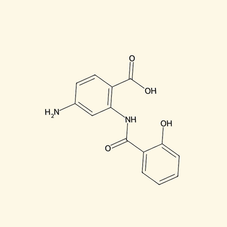 Nc1ccc(C(=O)O)c(NC(=O)c2ccccc2O)c1